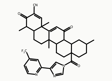 CC1CCC2(C(=O)n3cnc(-c4cc(C(F)(F)F)ccn4)c3)CCC3C(C(=O)C=C4C5(C)C=C(C#N)C(=O)C(C)C5CCC43C)C2C1